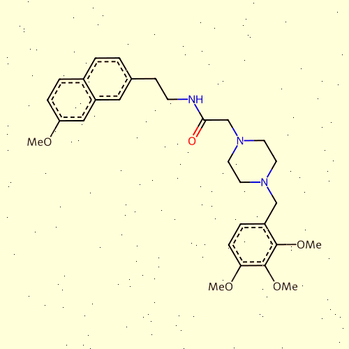 COc1ccc2ccc(CCNC(=O)CN3CCN(Cc4ccc(OC)c(OC)c4OC)CC3)cc2c1